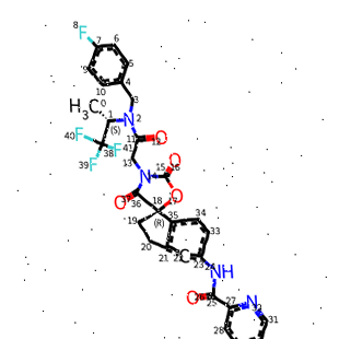 C[C@H](N(Cc1ccc(F)cc1)C(=O)CN1C(=O)O[C@@]2(CCc3cc(NC(=O)c4ccccn4)ccc32)C1=O)C(F)(F)F